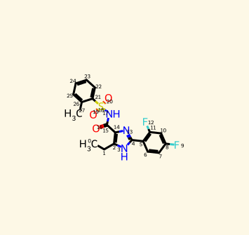 CCc1[nH]c(-c2ccc(F)cc2F)nc1C(=O)NS(=O)(=O)c1ccccc1C